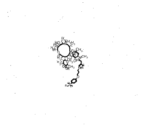 CC[C@H]1OC(=O)[C@H](C)[C@@H](C2C[C@@](C)(OC)[C@@H](O)[C@H](C)O2)[C@H](C)[C@@H](O[C@@H]2O[C@H](C)C[C@H](N(C)CCc3cn(CCCOc4ccc(S(=O)(=O)CF)cc4)nn3)[C@H]2O)[C@](C)(O)C[C@@H](C)CN(C)[C@H](C)[C@@H](O)[C@]1(C)O